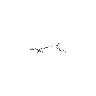 C=CCOC(=O)CCCCCCCCCCC[SiH](OC)OC